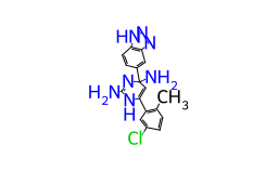 Cc1ccc(Cl)cc1C1=CC(N)(c2ccc3[nH]nnc3c2)N=C(N)N1